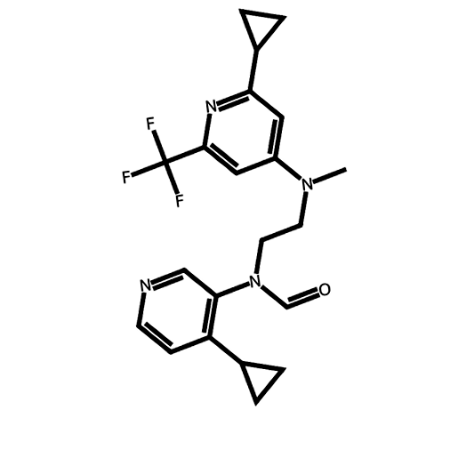 CN(CCN(C=O)c1cnccc1C1CC1)c1cc(C2CC2)nc(C(F)(F)F)c1